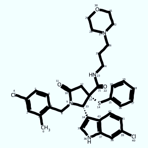 Cc1cc(Cl)ccc1CN1C(=O)C[C@@](Sc2ccccc2)(C(=O)NCCCN2CCOCC2)[C@@H]1c1c[nH]c2cc(Cl)ccc12